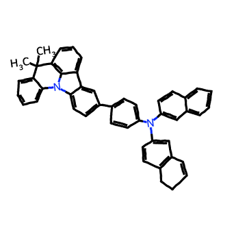 CC1(C)c2ccccc2-n2c3ccc(-c4ccc(N(c5ccc6c(c5)C=CCC6)c5ccc6ccccc6c5)cc4)cc3c3cccc1c32